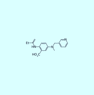 C=C(CC)Nc1ccc(N(C)Cc2cccnc2)cc1C(=O)O